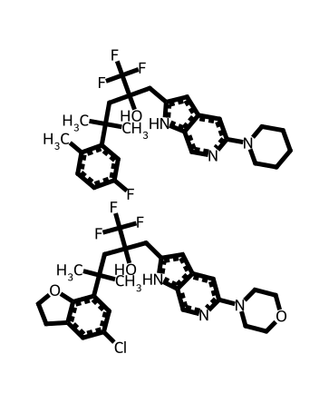 CC(C)(CC(O)(Cc1cc2cc(N3CCOCC3)ncc2[nH]1)C(F)(F)F)c1cc(Cl)cc2c1OCC2.Cc1ccc(F)cc1C(C)(C)CC(O)(Cc1cc2cc(N3CCCCC3)ncc2[nH]1)C(F)(F)F